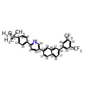 C[Si](C)(C)c1ccc(-c2ccc(-c3ccc4ccc(-c5cc(C(F)(F)F)cc(C(F)(F)F)c5)cc4c3)cn2)cc1